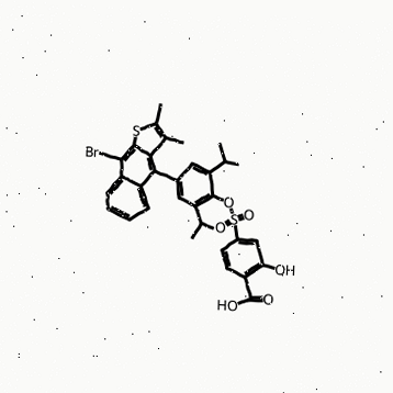 Cc1sc2c(Br)c3ccccc3c(-c3cc(C(C)C)c(OS(=O)(=O)c4ccc(C(=O)O)c(O)c4)c(C(C)C)c3)c2c1C